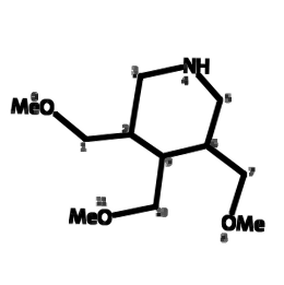 COCC1[CH]NCC(COC)C1COC